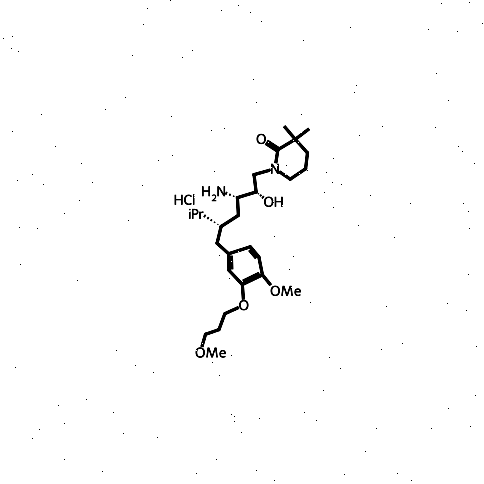 COCCCOc1cc(C[C@@H](C[C@H](N)[C@@H](O)CN2CCCC(C)(C)C2=O)C(C)C)ccc1OC.Cl